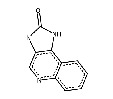 O=C1[N]c2cnc3ccccc3c2N1